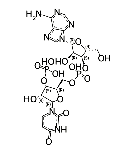 Nc1ncnc2c1ncn2[C@@H]1O[C@H](CO)[C@@H](OP(=O)(O)OC[C@H]2O[C@@H](n3ccc(=O)[nH]c3=O)[C@H](O)[C@@H]2OP(=O)(O)O)[C@H]1O